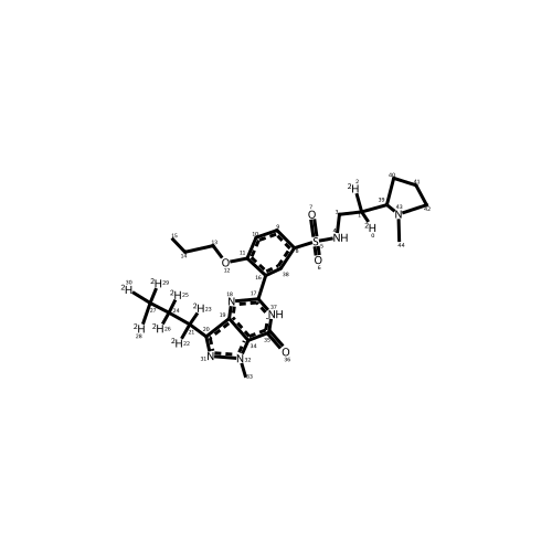 [2H]C([2H])(CNS(=O)(=O)c1ccc(OCCC)c(-c2nc3c(C([2H])([2H])C([2H])([2H])C([2H])([2H])[2H])nn(C)c3c(=O)[nH]2)c1)C1CCCN1C